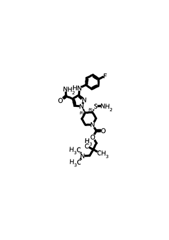 CN(C)CC(C)(C)COC(=O)N1CC[C@@H](n2cc(C(N)=O)c(Nc3ccc(F)cc3)n2)[C@H](SN)C1